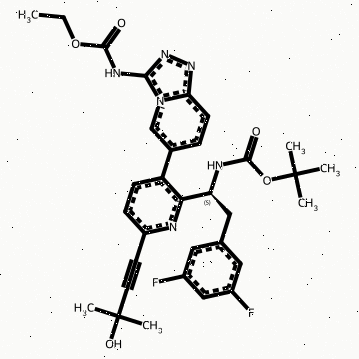 CCOC(=O)Nc1nnc2ccc(-c3ccc(C#CC(C)(C)O)nc3[C@H](Cc3cc(F)cc(F)c3)NC(=O)OC(C)(C)C)cn12